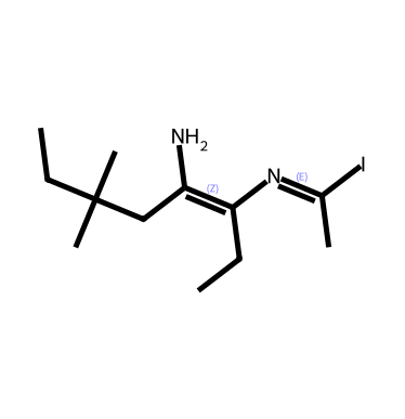 CCC(/N=C(\C)I)=C(/N)CC(C)(C)CC